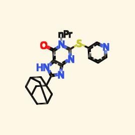 CCCn1c(Sc2cccnc2)nc2nc(C34CC5CC(CC(C5)C3)C4)[nH]c2c1=O